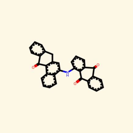 O=C1c2ccccc2C(=O)c2c(Nc3cc4c(c5ccccc35)C(=O)c3ccccc3C4)cccc21